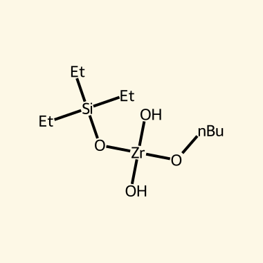 CCCC[O][Zr]([OH])([OH])[O][Si](CC)(CC)CC